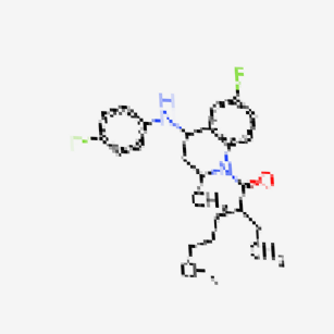 CCCCC(CC)C(=O)N1c2ccc(F)cc2C(Nc2ccc(F)cc2)CC1C